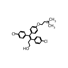 CN(C)CCOc1ccc(/C(=C(/CCO)c2ccc(Cl)cc2)c2ccc(Cl)cc2)cc1